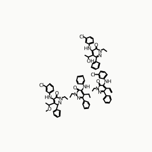 C=Cc1c(-c2ccccc2)nn(CC)c(=O)c1Nc1cccc(Cl)c1.CCc1c(-c2ccccc2)nn(CC)c(=O)c1Nc1ccccc1.CCn1nc(-c2ccccc2)c(C(C)O)c(Nc2cccc(Cl)c2)c1=O.CCn1nc(-c2ccccc2)c(C(C)OC)c(Nc2cccc(Cl)c2)c1=O